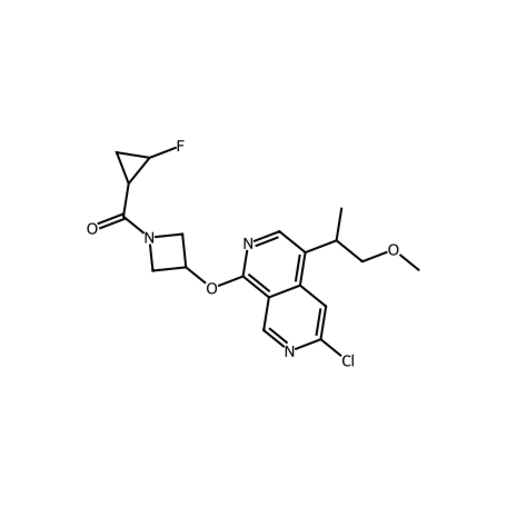 COCC(C)c1cnc(OC2CN(C(=O)C3CC3F)C2)c2cnc(Cl)cc12